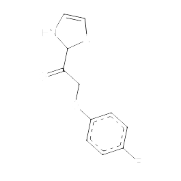 O=C(COc1ccc(F)cc1)C1NC=CS1